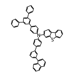 c1ccc(-c2cc(-c3ccccc3)cc(-c3ccc(N(c4ccc(-c5cccc(-c6cccc7ccccc67)c5)cc4)c4ccc5c(c4)sc4ccccc45)cc3)c2)cc1